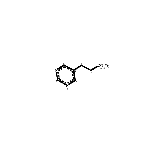 CCOC(=O)CCc1cncnc1